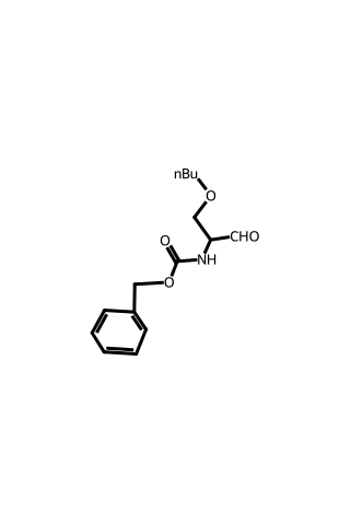 CCCCOCC(C=O)NC(=O)OCc1ccccc1